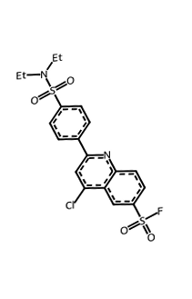 CCN(CC)S(=O)(=O)c1ccc(-c2cc(Cl)c3cc(S(=O)(=O)F)ccc3n2)cc1